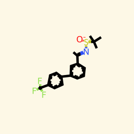 C/C(=N\[S@@+]([O-])C(C)(C)C)c1cccc(-c2ccc(C(F)(F)F)cc2)c1